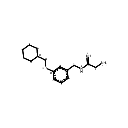 N=C(CN)NCc1cccc(OCC2CCCCC2)c1